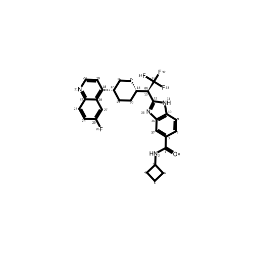 O=C(NC1CCC1)c1ccc2[nH]c([C@@H]([C@H]3CC[C@@H](c4ccnc5ccc(F)cc54)CC3)C(F)(F)F)nc2c1